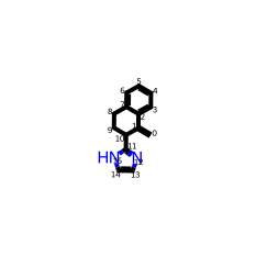 C=C1c2ccccc2CCC1c1ncc[nH]1